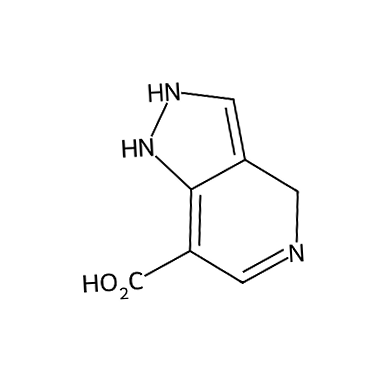 O=C(O)C1=C2NNC=C2CN=C1